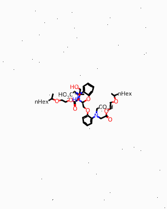 CCCCCCC(C)OCCOC(=O)CN(CC(=O)O)c1ccccc1OCC(NC(C)(C)CO)Oc1ccccc1N(CC(=O)O)CC(=O)OCCOC(C)CCCCCC